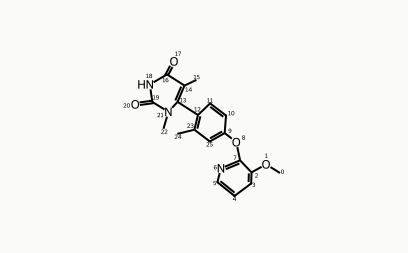 COc1cccnc1Oc1ccc(-c2c(C)c(=O)[nH]c(=O)n2C)c(C)c1